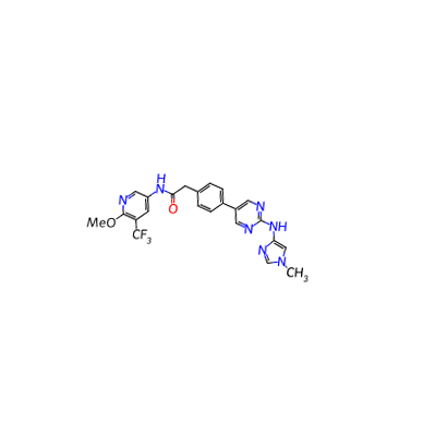 COc1ncc(NC(=O)Cc2ccc(-c3cnc(Nc4cn(C)cn4)nc3)cc2)cc1C(F)(F)F